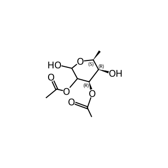 CC(=O)OC1C(O)O[C@@H](C)[C@@H](O)[C@H]1OC(C)=O